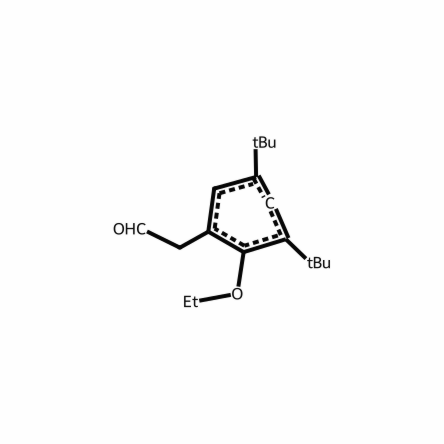 CCOc1c(CC=O)cc(C(C)(C)C)cc1C(C)(C)C